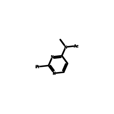 CC(=O)N(C)c1ccnc(C(C)C)n1